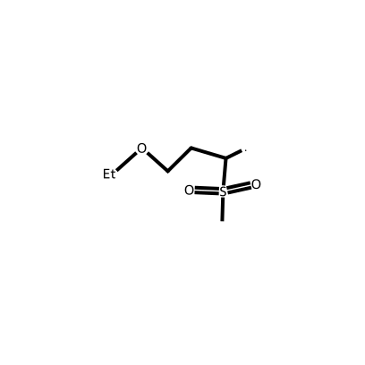 [CH2]C(CCOCC)S(C)(=O)=O